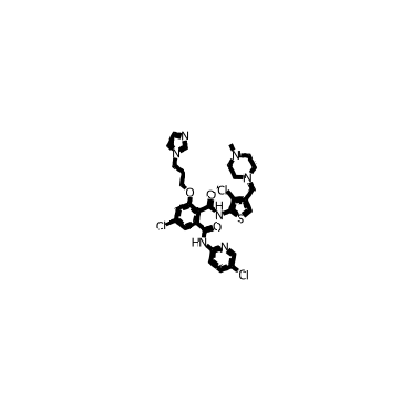 CN1CCN(Cc2csc(NC(=O)c3c(OCCCn4ccnc4)cc(Cl)cc3C(=O)Nc3ccc(Cl)cn3)c2Cl)CC1